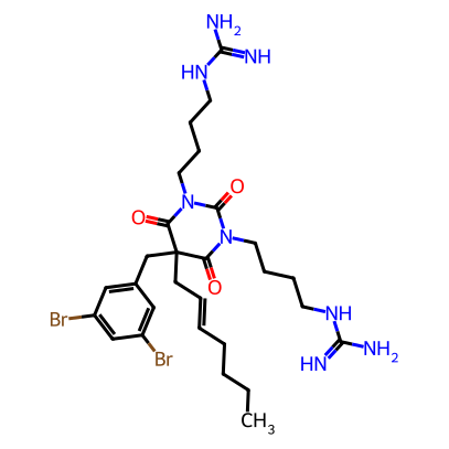 CCCC/C=C/CC1(Cc2cc(Br)cc(Br)c2)C(=O)N(CCCCNC(=N)N)C(=O)N(CCCCNC(=N)N)C1=O